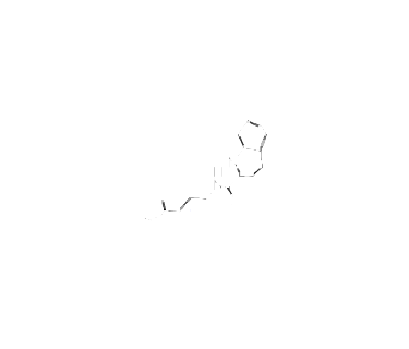 COC(=O)/C=C/CNC(=O)c1ccc2ccccc2n1